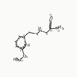 CCCCOc1cccc(CCNCC(N)=O)c1